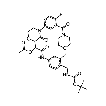 CC(=O)OC(C(=O)Nc1ccc(CNC(=O)OC(C)(C)C)c(F)c1)C1OCCN(c2ccc(F)c(C(=O)N3CCOCC3)c2)C1=O